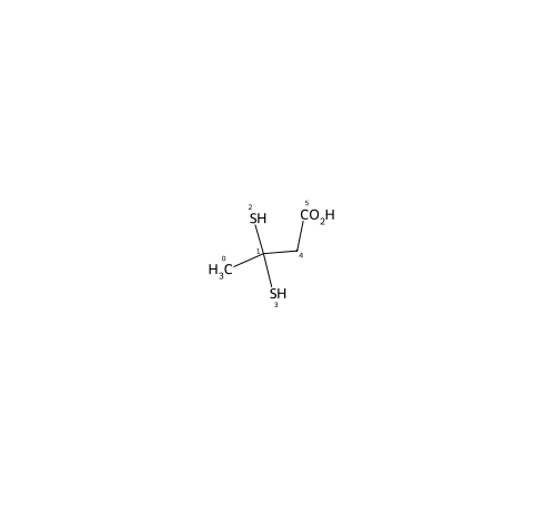 CC(S)(S)CC(=O)O